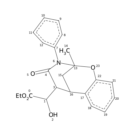 CCOC(=O)C(O)C1C(=O)N(c2ccccc2)C2(C)CC1c1ccccc1O2